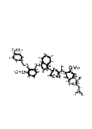 COc1ccc(COc2c(C=O)cccc2Cn2cc(-c3ccnc(Nc4cc(NC(C)=O)c(N(C)CCN(C)C)cc4OC)n3)c3ccccc32)cc1